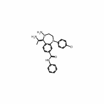 C/C(N)=C1\c2ccc(C(=O)Nc3ccccc3)cc2N(c2ccc(Cl)cc2)CCN1N